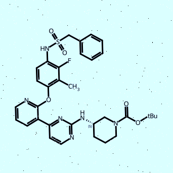 Cc1c(Oc2ncccc2-c2ccnc(N[C@H]3CCCN(C(=O)OC(C)(C)C)C3)n2)ccc(NS(=O)(=O)Cc2ccccc2)c1F